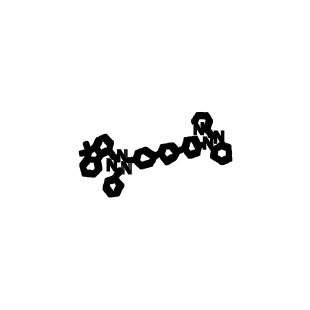 CC1(C)c2ccccc2-c2c(-c3nc(-c4ccccc4)nc(-c4ccc(-c5ccc(-c6ccc(-n7c(-c8ccccn8)nc8ccccc87)cc6)cc5)cc4)n3)cccc21